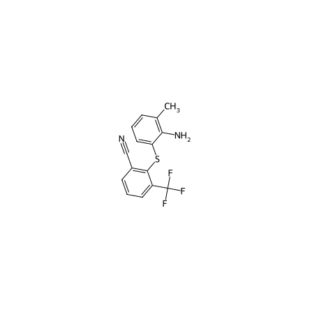 Cc1cccc(Sc2c(C#N)cccc2C(F)(F)F)c1N